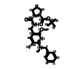 COc1nc(N(C)Cc2ccccc2)c(F)cc1CNC(=O)[C@@H]1CCCN1C(=O)OC(C)(C)C